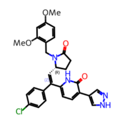 COc1ccc(CN2C(=O)CC[C@@H]2/C=C(/c2ccc(Cl)cc2)c2ccc(-c3cn[nH]c3)c(=O)[nH]2)c(OC)c1